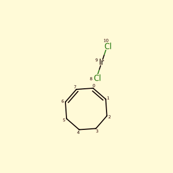 C1=CCCCCC=C1.[Cl][Ir][Cl]